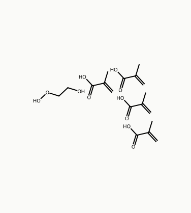 C=C(C)C(=O)O.C=C(C)C(=O)O.C=C(C)C(=O)O.C=C(C)C(=O)O.OCCOO